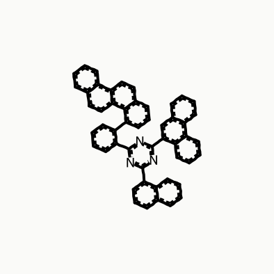 c1ccc(-c2cccc3ccc4c5ccccc5ccc4c23)c(-c2nc(-c3cccc4ccccc34)nc(-c3cc4ccccc4c4ccccc34)n2)c1